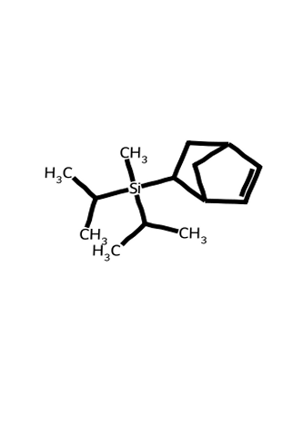 CC(C)[Si](C)(C(C)C)C1CC2C=CC1C2